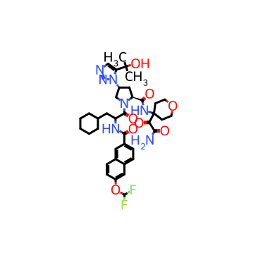 CC(C)(O)c1cnnn1[C@H]1C[C@@H](C(=O)NC2(C(=O)C(N)=O)CCOCC2)N(C(=O)C(CC2CCCCC2)NC(=O)c2ccc3cc(OC(F)F)ccc3c2)C1